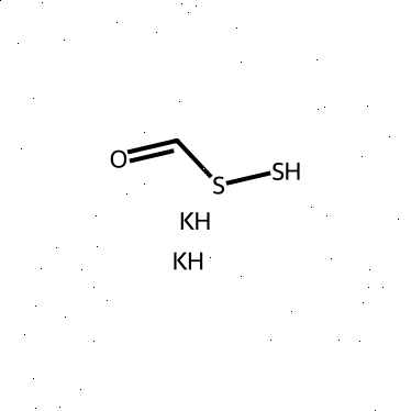 O=CSS.[KH].[KH]